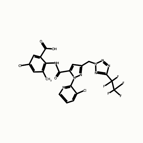 Cc1cc(Cl)cc(C(=O)O)c1NC(=O)c1cc(Cn2nnc(C(F)(F)C(F)(F)F)n2)nn1-c1ncccc1Cl